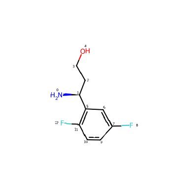 N[C@@H](CCO)c1cc(F)ccc1F